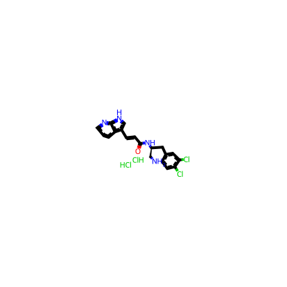 Cl.Cl.NC[C@H](Cc1ccc(Cl)c(Cl)c1)NC(=O)/C=C/c1c[nH]c2ncccc12